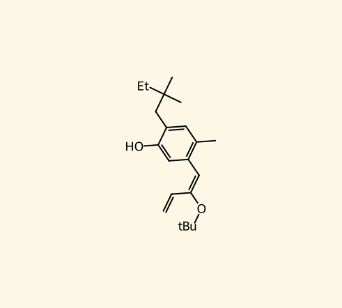 C=C/C(=C\c1cc(O)c(CC(C)(C)CC)cc1C)OC(C)(C)C